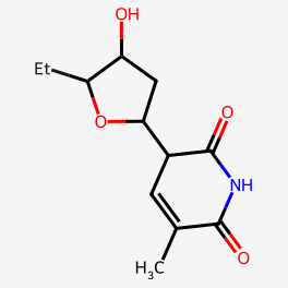 CCC1OC(C2C=C(C)C(=O)NC2=O)CC1O